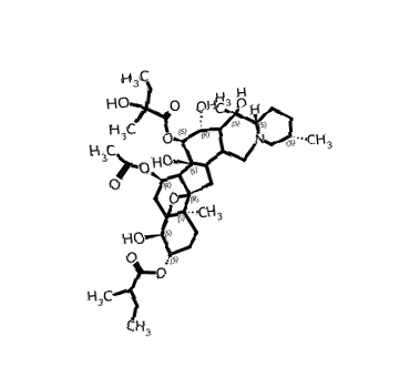 CCC(C)C(=O)O[C@H]1CC[C@@]2(C)C3C[C@@H](OC(C)=O)C4[C@@]5(O)C(C[C@@]42O[C@@]31O)C1CN2C[C@@H](C)CC[C@H]2[C@@](C)(O)C1[C@@H](O)[C@@H]5OC(=O)C(C)(O)CC